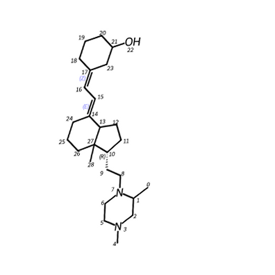 CC1CN(C)CCN1CC[C@H]1CCC2/C(=C/C=C3/CCCC(O)C3)CCCC21C